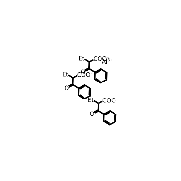 CCC(C(=O)[O-])C(=O)c1ccccc1.CCC(C(=O)[O-])C(=O)c1ccccc1.CCC(C(=O)[O-])C(=O)c1ccccc1.[Al+3]